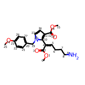 COC(=O)/C(=C\CCCN)c1c(C(=O)OC)ccn1Cc1ccc(OC)cc1